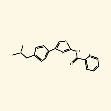 CN(C)Cc1ccc(-c2csc(NC(=O)c3ccccn3)n2)cc1